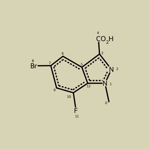 Cn1nc(C(=O)O)c2cc(Br)cc(F)c21